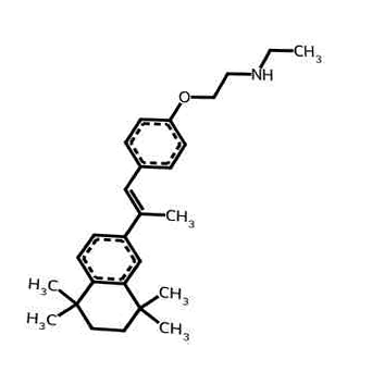 CCNCCOc1ccc(C=C(C)c2ccc3c(c2)C(C)(C)CCC3(C)C)cc1